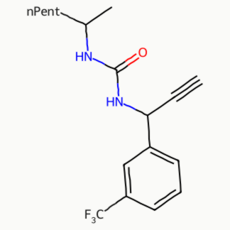 C#CC(NC(=O)NC(C)CCCCC)c1cccc(C(F)(F)F)c1